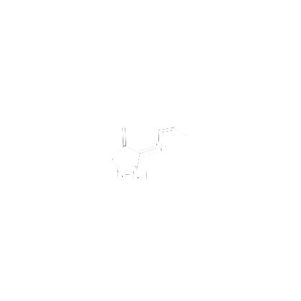 C=C1C=NN/C1=N/C=C\C